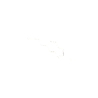 COCCc1ccc2cc(C#N)nn2c1